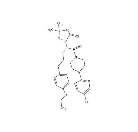 CCOc1ccc(CCC[C@@H](C(=O)N2CCN(c3ccc(Cl)cn3)CC2)[C@@H]2OC(C)(C)OC2=O)cc1